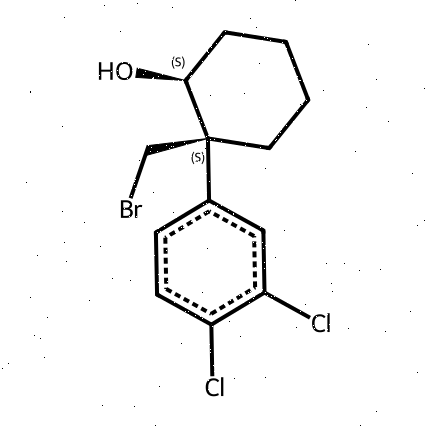 O[C@H]1CCCC[C@]1(CBr)c1ccc(Cl)c(Cl)c1